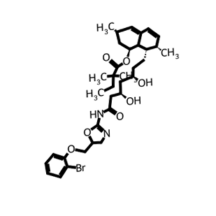 CCC(C)(C)C(=O)O[C@H]1C[C@@H](C)C=C2C=C[C@H](C)[C@H](CC[C@@H](O)C[C@@H](O)CC(=O)NC3=NCC(COc4ccccc4Br)O3)C21